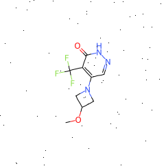 COC1CN(c2cn[nH]c(=O)c2C(F)(F)F)C1